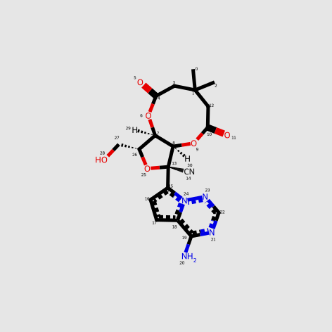 CC1(C)CC(=O)O[C@H]2[C@@H](OC(=O)C1)[C@](C#N)(c1ccc3c(N)ncnn13)O[C@@H]2CO